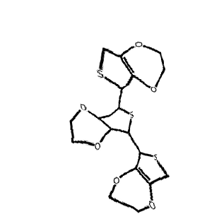 C1COC2=C(CSC2C2SC(C3SCC4=C3OCCO4)C3OCCOC32)O1